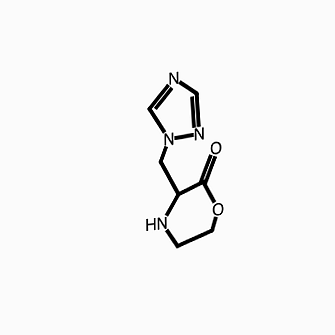 O=C1OCCNC1Cn1cncn1